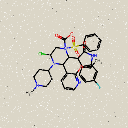 CCOc1ncccc1C1C(C2C(=O)Nc3cc(F)ccc32)[N+](C(=O)[O-])(S(=O)(=O)c2ccccc2)CC(Cl)N1C1CCN(C)CC1